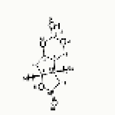 CC1OCC2C(C[C@H]3OC(=O)C[C@@H]23)O1